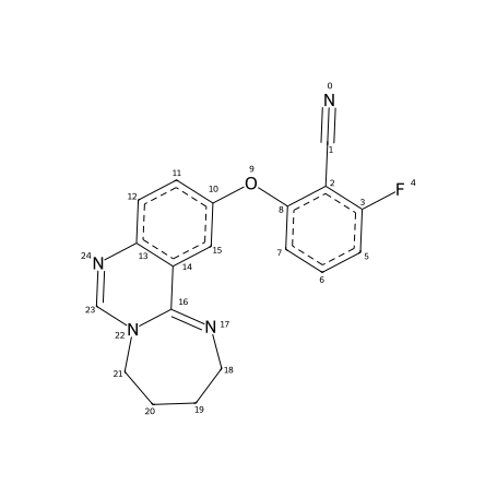 N#Cc1c(F)cccc1Oc1ccc2c(c1)C1=NCCCCN1C=N2